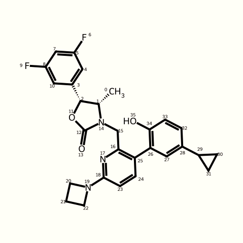 C[C@H]1[C@@H](c2cc(F)cc(F)c2)OC(=O)N1Cc1nc(N2CCC2)ccc1-c1cc(C2CC2)ccc1O